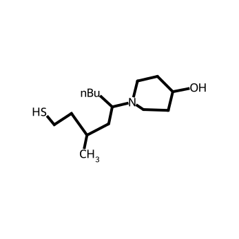 CCCCC(CC(C)CCS)N1CCC(O)CC1